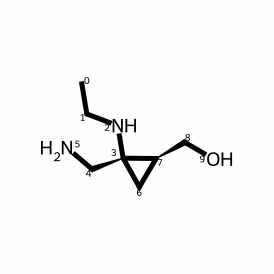 CCN[C@@]1(CN)C[C@@H]1CO